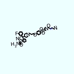 CN(C)C/C=C/C(=O)N1CC(S(=O)(=O)c2ccc(OCCCN3CCC(C(C#N)(c4cccc(F)c4)[C@H]4CCC[C@@H]4OC(N)=O)CC3)cc2)C1